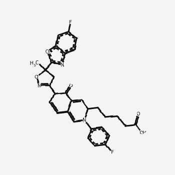 CC1(c2nc3ccc(F)cc3o2)CC(C2C=CC3=CN(c4ccc(F)cc4)C(CCCCC(=O)O)C=C3C2=O)=NO1